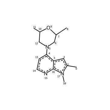 Cc1cc2c(N3CC(C)OC(C)C3)ccnc2n1C